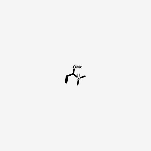 C=CC(OC)[SiH](C)C